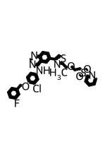 CC(OCCS(=O)(=O)c1ccccn1)c1nc(-c2ccc3ncnc(Nc4ccc(OCc5cccc(F)c5)c(Cl)c4)c3c2)cs1